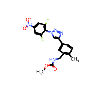 COC(=O)NCc1cc(-c2cn(-c3c(F)cc([N+](=O)[O-])cc3F)nn2)ccc1C